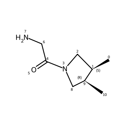 C[C@@H]1CN(C(=O)CN)C[C@@H]1C